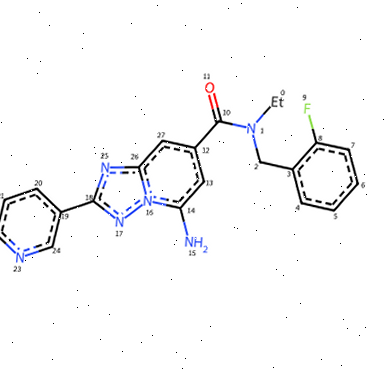 CCN(Cc1ccccc1F)C(=O)c1cc(N)n2nc(-c3cccnc3)nc2c1